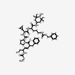 CC(C)CC(/C=C/C(Cc1ccccc1)C(=O)N1CCC[C@H]1C(=O)NC(C(=O)NC(CCCNC(=O)OCc1ccccc1)C(=O)NC1CC(C)(C)N(O)C(C)(C)C1)C1CC1)NC(=O)OC(C)(C)C